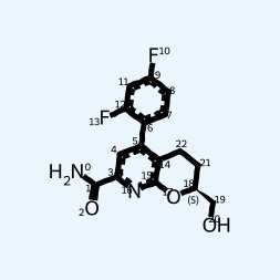 NC(=O)c1cc(-c2ccc(F)cc2F)c2c(n1)O[C@H](CO)CC2